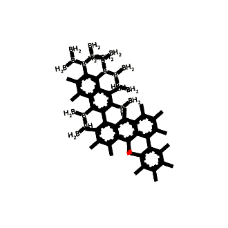 BBB(B)B(B(B)B)c1c(B(B(B)B)B(B)B)c(C)c(C)c2c(B(B)BB)c(-c3c(C)c(C)c(C)c4c(C)c5c(-c6c(C)c(C)c(C)c(C)c6C)c(C)c(C)c(C)c5c(C)c34)c(BB)c(B)c12